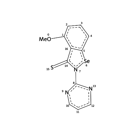 COc1cccc2[se]n(-c3ncccn3)c(=S)c12